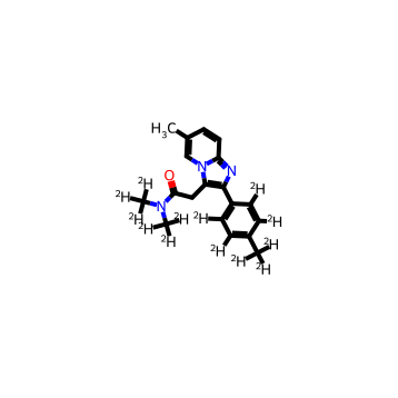 [2H]c1c([2H])c(C([2H])([2H])[2H])c([2H])c([2H])c1-c1nc2ccc(C)cn2c1CC(=O)N(C([2H])([2H])[2H])C([2H])([2H])[2H]